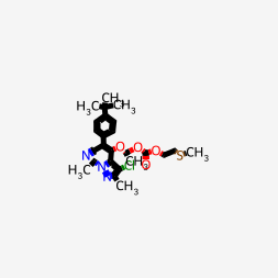 CCn1nc(C)c(Cl)c1/C(OC(C)OC(=O)OCCSC)=C(\C#N)c1ccc(C(C)(C)C)cc1